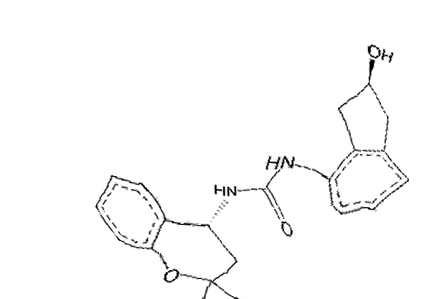 CC1(C)C[C@@H](NC(=O)Nc2cccc3c2C[C@@H](O)C3)c2ccccc2O1